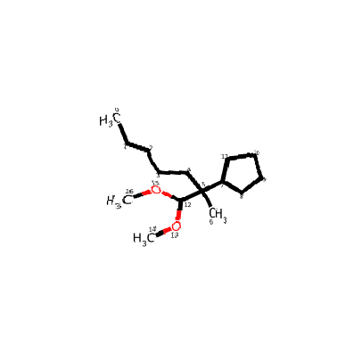 CCCCCC(C)(C1CCCC1)C(OC)OC